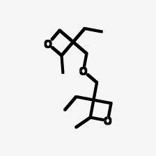 CCC1(COCC2(CC)COC2C)COC1C